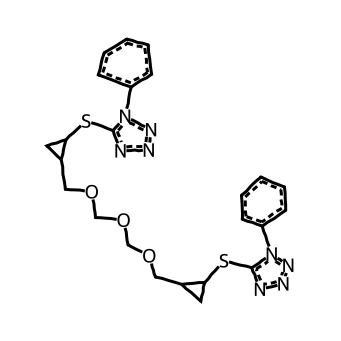 c1ccc(-n2nnnc2SC2CC2COCOCOCC2CC2Sc2nnnn2-c2ccccc2)cc1